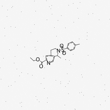 CCOC(=O)c1cc2c(cn1)C(C)N(S(=O)(=O)c1ccc(C)cc1)CC2